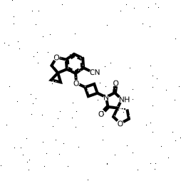 N#Cc1ccc2c(c1OC1CC(N3C(=O)N[C@]4(CCOC4)C3=O)C1)C1(CC1)CO2